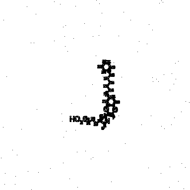 Cc1nc(C(=O)C(C)Oc2ccc(SCCCCCc3ccccc3)cc2)sc1CCCC(=O)O